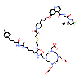 C#C[C@H]1CC(F)(F)CN1C(=O)CNC(=O)c1ccnc2ccc(OCCCC3CCN(C(=O)[C@H](O)CSCCNC(=O)C(CCCC/N=C(\C)NC(=O)CCCc4ccc(C)cc4)NC(=O)CN4CCN(COC=O)CCN(COC=O)CCN(CC(=O)O)CC4)CC3)cc12